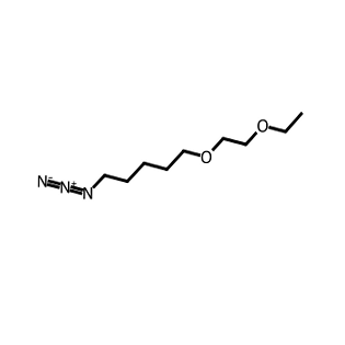 CCOCCOCCCCCN=[N+]=[N-]